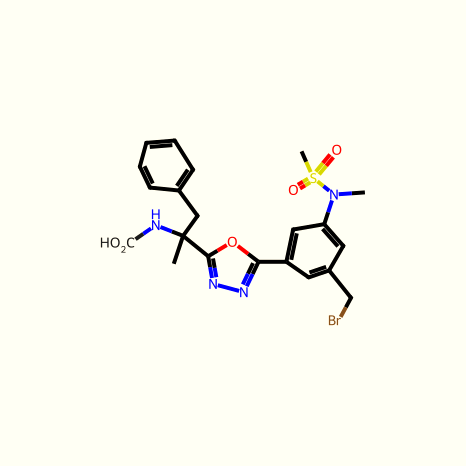 CN(c1cc(CBr)cc(-c2nnc(C(C)(Cc3ccccc3)NC(=O)O)o2)c1)S(C)(=O)=O